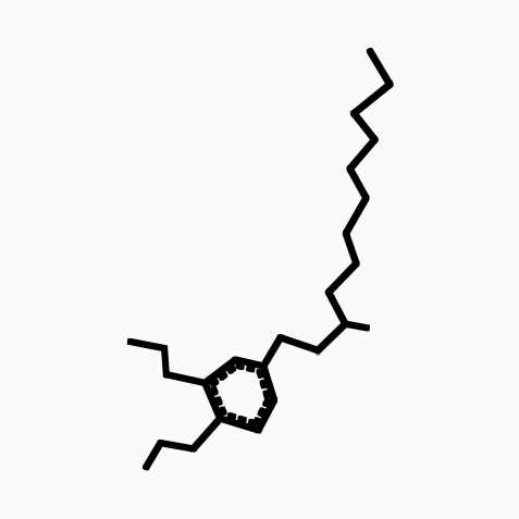 CCCCCCCCCC(C)[CH]Cc1ccc(CCC)c(CCC)c1